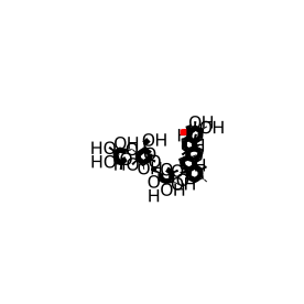 C[C@H]1[C@H](C)CC[C@]2(C(=O)O[C@@H]3O[C@H](CO[C@@H]4O[C@H](CO)[C@@H](O[C@@H]5O[C@@H](C)[C@H](O)[C@@H](O)[C@H]5O)[C@H](O)[C@H]4O)[C@@H](O)[C@H](O)[C@H]3O)CC[C@]3(C)C(=CC[C@@H]4[C@@]5(C)C[C@@H](O)[C@H](O)C(C)(C)[C@@H]5CC[C@]43C)[C@H]12